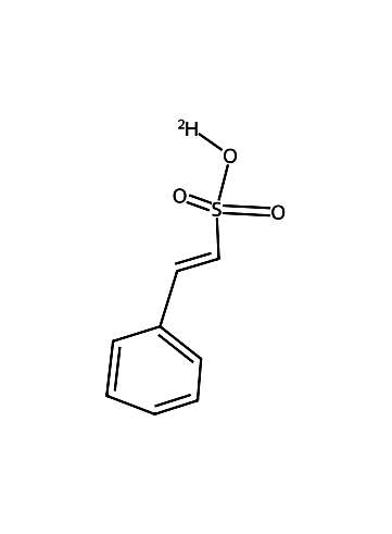 [2H]OS(=O)(=O)C=Cc1ccccc1